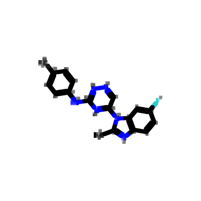 Cc1nc2ccc(F)cc2n1-c1cnnc(Nc2ccc(C(F)(F)F)cc2)n1